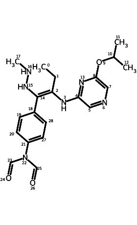 CC/C(Nc1cncc(OC(C)C)n1)=C(\NNC)c1ccc(N(C=O)C=O)cc1